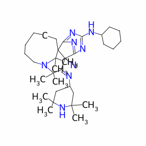 CC1(C)CC(N=C2C(C)(C)N3CCCCCCC4(c5nc(NC6CCCCC6)nc(n5)C24[N])C3(C)C)CC(C)(C)N1